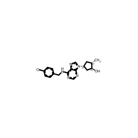 [CH2][C@H]1C[C@@H](n2cnc3c(NCc4ccc(Cl)cc4)ncnc32)C[C@@H]1O